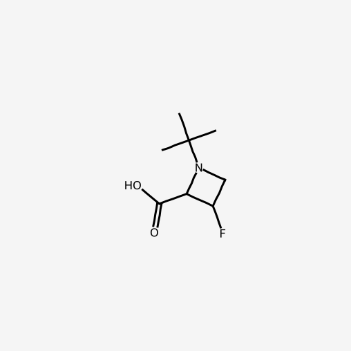 CC(C)(C)N1CC(F)C1C(=O)O